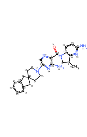 CC1CN(C(=O)c2ncc(N3CCC4(CC3)Cc3ccccc3C4)nc2N)c2ccc(N)nc21